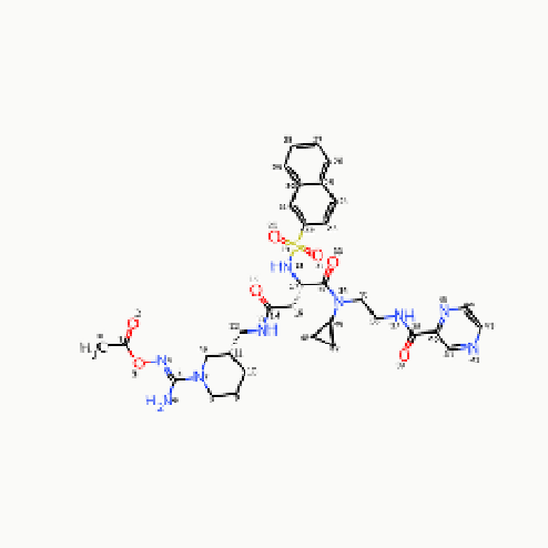 CC(=O)ON=C(N)N1CCC[C@@H](CNC(=O)C[C@H](NS(=O)(=O)c2ccc3ccccc3c2)C(=O)N(CCNC(=O)c2cnccn2)C2CC2)C1